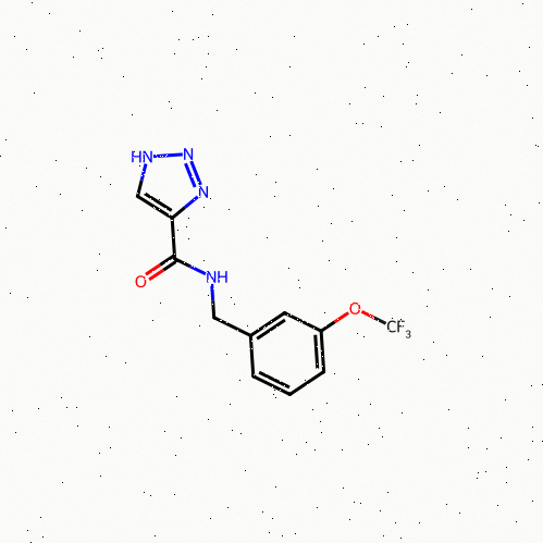 O=C(NCc1cccc(OC(F)(F)F)c1)c1c[nH]nn1